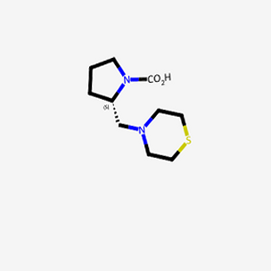 O=C(O)N1CCC[C@H]1CN1CCSCC1